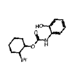 CC(C)C1CCCCC1OC(=O)Nc1ccccc1O